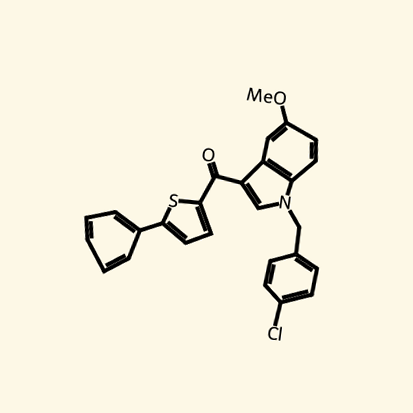 COc1ccc2c(c1)c(C(=O)c1ccc(-c3ccccc3)s1)cn2Cc1ccc(Cl)cc1